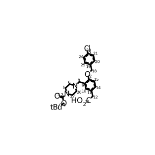 CC(C)(C)OC(=O)N1CCN(Cc2cc(CC(=O)O)ccc2OCc2ccc(Cl)cc2)CC1